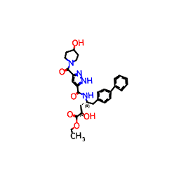 CCOC(=O)[C@@H](O)C[C@@H](Cc1ccc(-c2ccccc2)cc1)NC(=O)c1cc(C(=O)N2CCC(O)CC2)n[nH]1